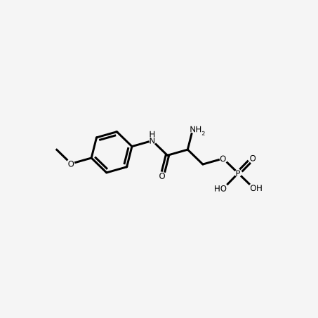 COc1ccc(NC(=O)C(N)COP(=O)(O)O)cc1